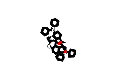 c1ccc(N(c2ccccc2)c2ccc3c(c2)C2(c4ccccc4Oc4ccc5ccccc5c42)c2cc(N(c4ccccc4)c4ccccc4)ccc2-3)cc1